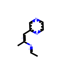 C/C=N/C(C)=C\c1cnccn1